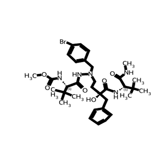 CNC(=O)[C@@H](NC(=O)[C@@](O)(CCN(Cc1ccc(Br)cc1)NC(=O)[C@@H](NC(=O)OC)C(C)(C)C)Cc1ccccc1)C(C)(C)C